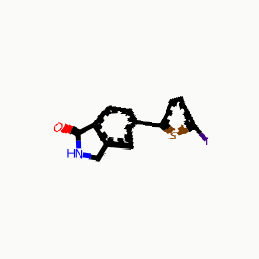 O=C1NCc2cc(-c3ccc(I)s3)ccc21